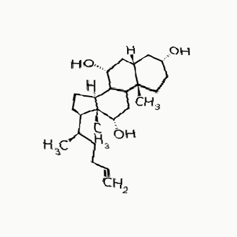 C=CCC[C@@H](C)[C@H]1CC[C@H]2C3C(C[C@H](O)[C@]12C)[C@@]1(C)CC[C@@H](O)C[C@H]1C[C@H]3O